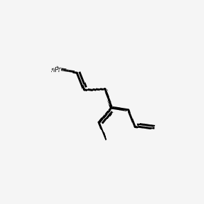 C=CCC(=CC)CC=CCCC